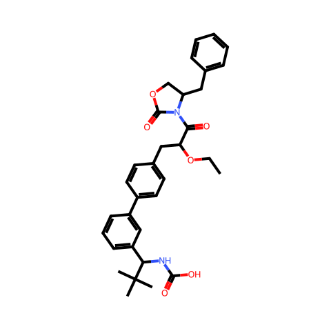 CCOC(Cc1ccc(-c2cccc(C(NC(=O)O)C(C)(C)C)c2)cc1)C(=O)N1C(=O)OCC1Cc1ccccc1